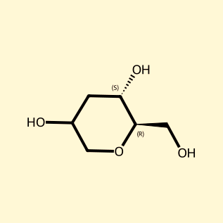 OC[C@H]1OCC(O)C[C@@H]1O